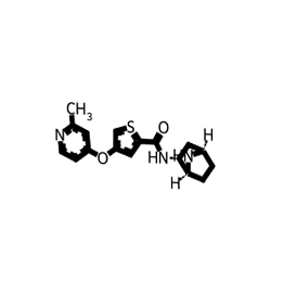 Cc1cc(Oc2csc(C(=O)N[C@@H]3C[C@H]4CC[C@@H]3N4)c2)ccn1